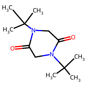 CC(C)(C)N1CC(=O)N(C(C)(C)C)CC1=O